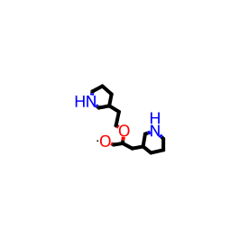 [O]CC(CC1CCCNC1)OCCC1CCCNC1